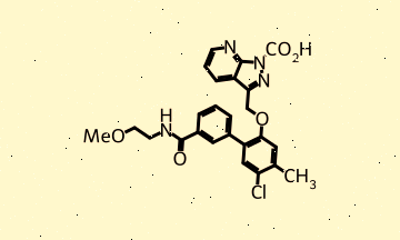 COCCNC(=O)c1cccc(-c2cc(Cl)c(C)cc2OCc2nn(C(=O)O)c3ncccc23)c1